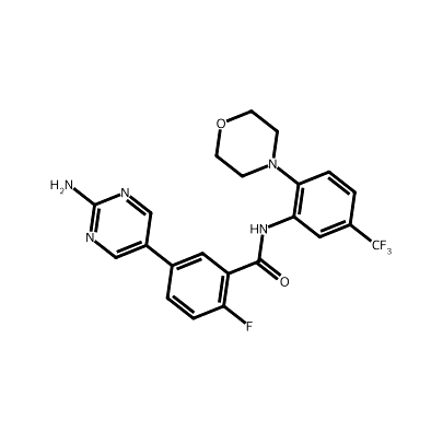 Nc1ncc(-c2ccc(F)c(C(=O)Nc3cc(C(F)(F)F)ccc3N3CCOCC3)c2)cn1